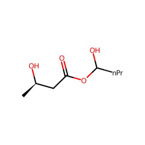 CCCC(O)OC(=O)C[C@@H](C)O